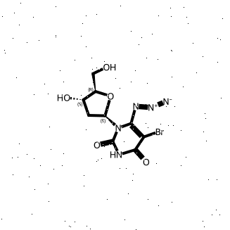 [N-]=[N+]=Nc1c(Br)c(=O)[nH]c(=O)n1[C@H]1C[C@H](O)[C@@H](CO)O1